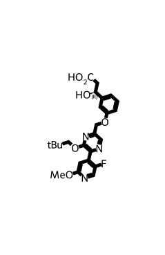 COc1cc(-c2ncc(COc3cccc([C@H](O)CC(=O)O)c3)nc2OCC(C)(C)C)c(F)cn1